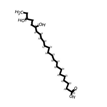 CCC(O)CCC(O)CCCCCCCCCCCCCCCCCC(=O)O